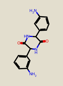 Nc1cccc(C2NC(=O)C(c3cccc(N)c3)NC2=O)c1